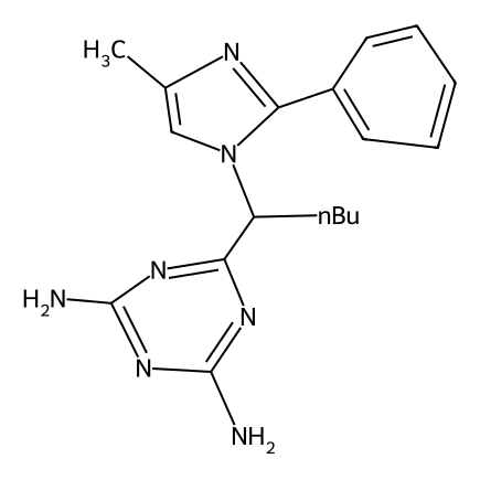 CCCCC(c1nc(N)nc(N)n1)n1cc(C)nc1-c1ccccc1